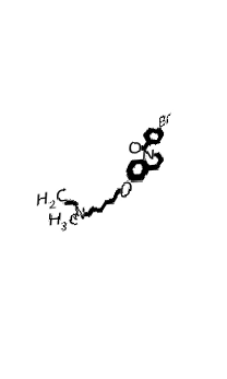 C=CCN(C)CCCCCCOc1ccc2c(c1)CCCN2C(=O)c1ccc(Br)cc1